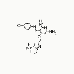 CCn1nc(COc2cc(N)nc(N)c2N=Nc2ccc(Cl)cc2)cc1C(F)(F)F